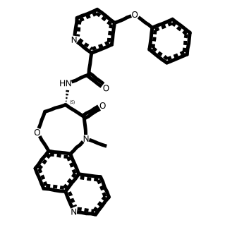 CN1C(=O)[C@@H](NC(=O)c2cc(Oc3ccccc3)ccn2)COc2ccc3ncccc3c21